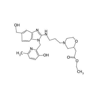 CCOC(=O)CC1CN(CCCNc2nc3cc(CO)ccc3n2Cc2nc(C)ccc2O)CCO1